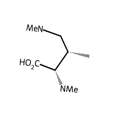 CNC[C@H](C)[C@H](NC)C(=O)O